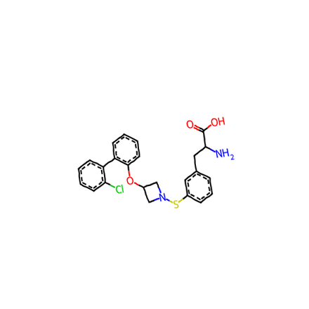 NC(Cc1cccc(SN2CC(Oc3ccccc3-c3ccccc3Cl)C2)c1)C(=O)O